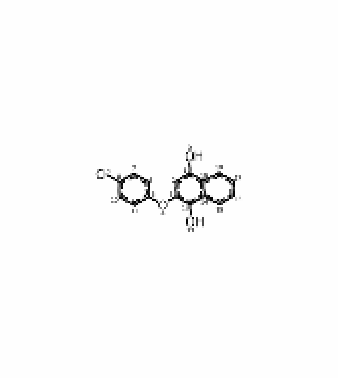 Oc1cc(Oc2ccc(Cl)cc2)c(O)c2ccccc12